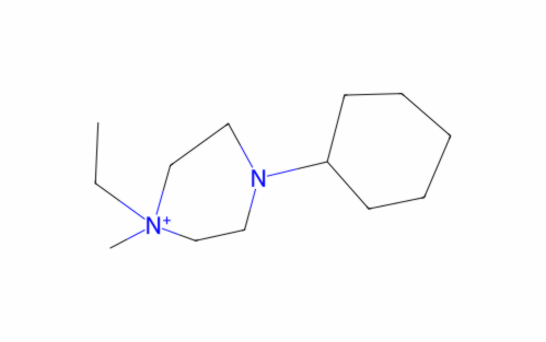 CC[N+]1(C)CCN(C2CCCCC2)CC1